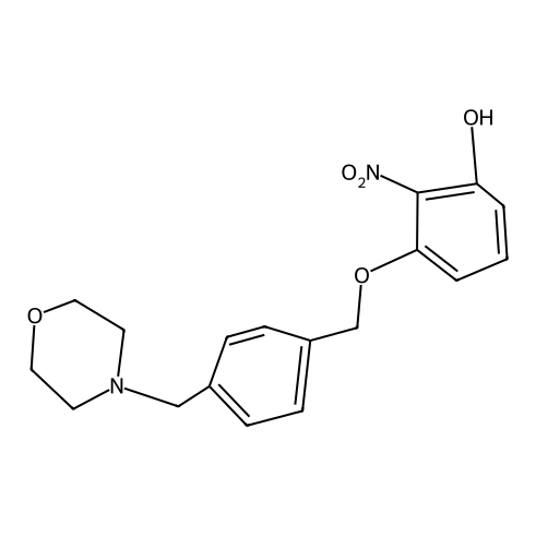 O=[N+]([O-])c1c(O)cccc1OCc1ccc(CN2CCOCC2)cc1